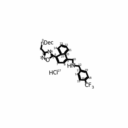 CCCCCCCCCCCc1noc(-c2ccc(CNCc3ccc(C(F)(F)F)cc3)c3ccccc23)n1.Cl